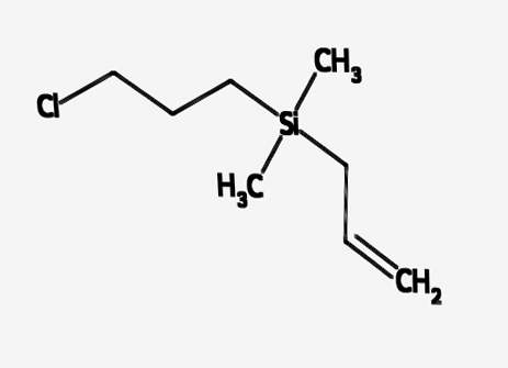 C=CC[Si](C)(C)CCCCl